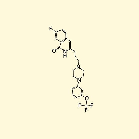 O=c1[nH]c(CCCN2CCN(c3cccc(OC(F)(F)F)c3)CC2)cc2ccc(F)cc12